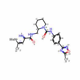 CN/C(=C\C(=N)C(=O)NCC1CCCCN1C(=O)Nc1ccc(-c2noc(C(F)(F)F)n2)cc1)C(F)(F)F